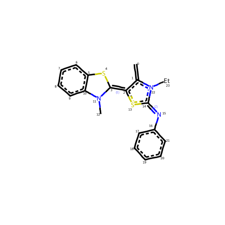 C=c1/c(=C2\Sc3ccccc3N2C)s/c(=N\c2ccccc2)n1CC